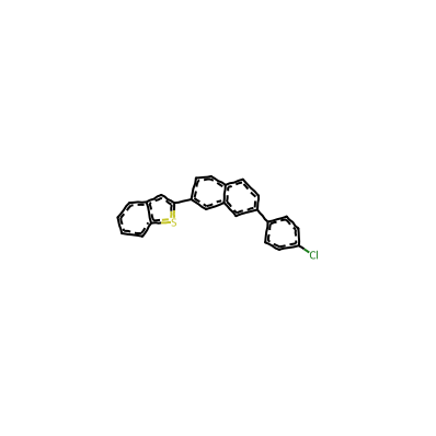 Clc1ccc(-c2ccc3ccc(-c4cc5ccccc5s4)cc3c2)cc1